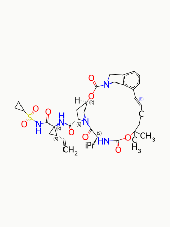 C=C[C@@H]1C[C@]1(NC(=O)[C@@H]1C[C@@H]2CN1C(=O)[C@H](C(C)C)NC(=O)OC(C)(C)CC/C=C/c1cccc3c1CN(C3)C(=O)O2)C(=O)NS(=O)(=O)C1CC1